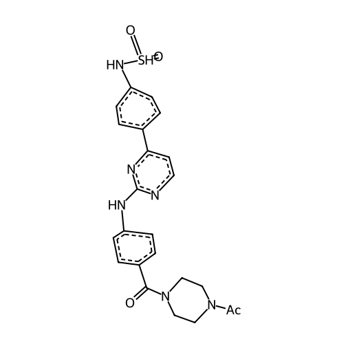 CC(=O)N1CCN(C(=O)c2ccc(Nc3nccc(-c4ccc(N[SH](=O)=O)cc4)n3)cc2)CC1